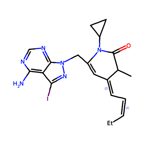 CC/C=C\C=C1\C=C(Cn2nc(I)c3c(N)ncnc32)N(C2CC2)C(=O)C1C